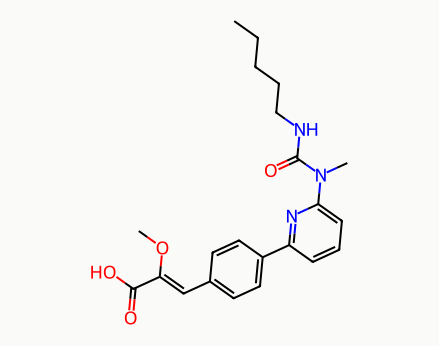 CCCCCNC(=O)N(C)c1cccc(-c2ccc(C=C(OC)C(=O)O)cc2)n1